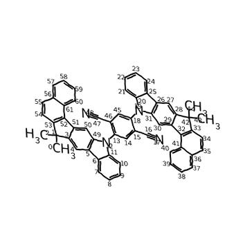 CC1(C)c2cc3c4ccccc4n(-c4cc(C#N)c(-n5c6ccccc6c6cc7c(cc65)-c5c(ccc6ccccc56)C7(C)C)cc4C#N)c3cc2-c2c1ccc1ccccc21